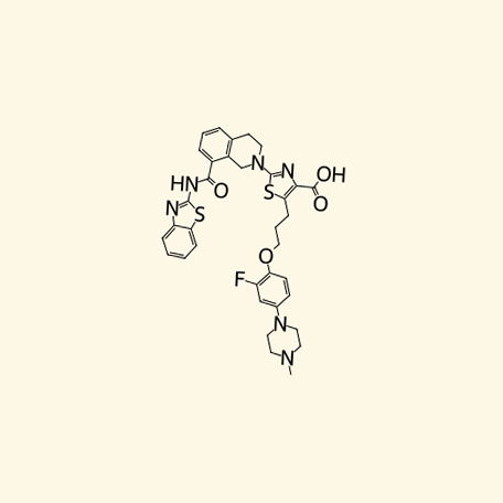 CN1CCN(c2ccc(OCCCc3sc(N4CCc5cccc(C(=O)Nc6nc7ccccc7s6)c5C4)nc3C(=O)O)c(F)c2)CC1